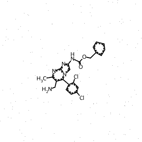 Cc1nc2nc(NC(=O)OCc3ccccc3)cn2c(-c2ccc(Cl)cc2Cl)c1CN